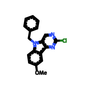 COc1ccc2c(c1)c1nc(Cl)ncc1n2Cc1ccccc1